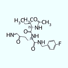 CCC(C)[C@H](NC(C)=O)C(=O)N[C@@H](CCC(=O)C=N)C(=O)NCc1ccc(F)cc1